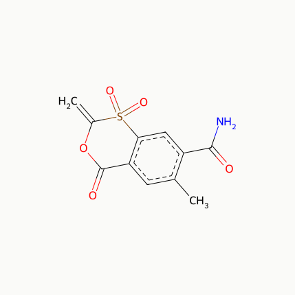 C=C1OC(=O)c2cc(C)c(C(N)=O)cc2S1(=O)=O